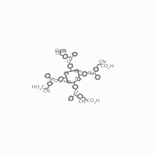 [C-]#[N+]/C(=C\c1ccc(N(COc2ccc(-c3c4nc(c(-c5ccc(OCN(c6ccccc6)c6ccc(/C=C(/C#N)C(=O)O)cc6)cc5)c5ccc([nH]5)c(-c5ccc(OCN(c6ccccc6)c6ccc(/C=C(\C#N)OC=O)cc6)cc5)c5nc(c(-c6ccc(OCN(c7ccccc7)c7ccc(/C=C(/C#N)C(=O)O)cc7)cc6)c6ccc3[nH]6)C=C5)C=C4)cc2)c2ccccc2)cc1)C(=O)O